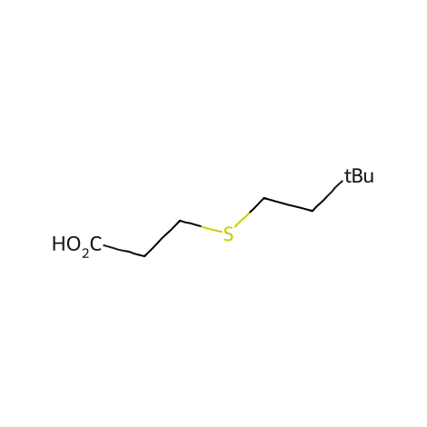 CC(C)(C)CCSCCC(=O)O